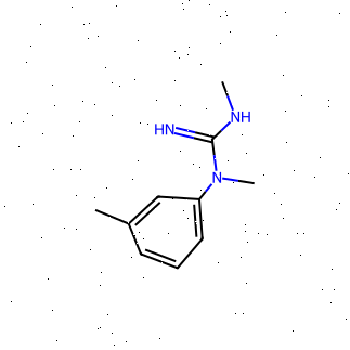 CNC(=N)N(C)c1cccc(C)c1